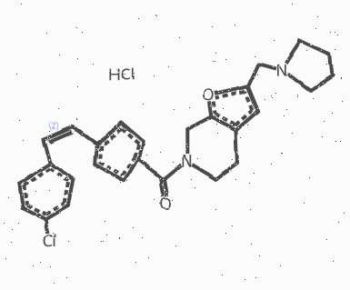 Cl.O=C(c1ccc(/C=C\c2ccc(Cl)cc2)cc1)N1CCc2cc(CN3CCCC3)oc2C1